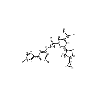 Cn1cc(-c2cc(F)cc(CNC(=O)c3cc(N4CC[C@@H](C5CC5)C4=O)cc(C(F)F)n3)c2)cn1